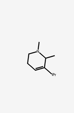 CC(C)C1=CCCN(C)C1C